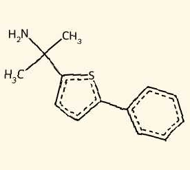 CC(C)(N)c1ccc(-c2ccccc2)s1